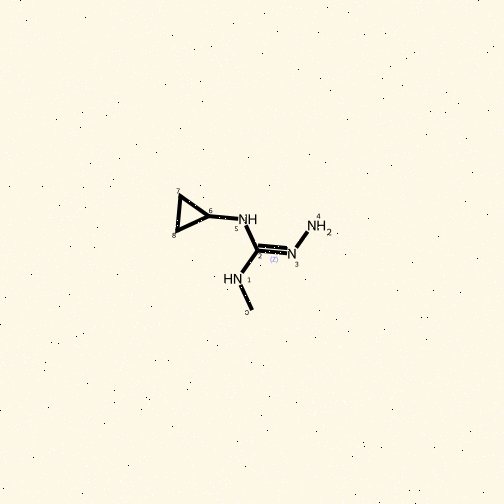 CN/C(=N/N)NC1CC1